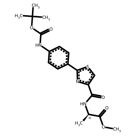 COC(=O)[C@@H](C)NC(=O)c1csc(-c2ccc(NC(=O)OC(C)(C)C)cc2)n1